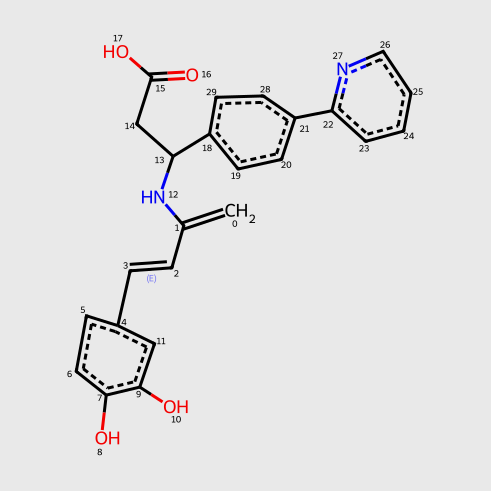 C=C(/C=C/c1ccc(O)c(O)c1)NC(CC(=O)O)c1ccc(-c2ccccn2)cc1